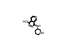 Oc1nnc(N[C@@H]2CCCNC2)c2cnccc12